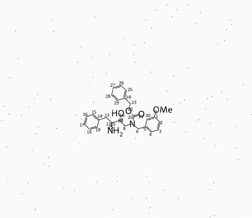 COc1cccc(CN(C[C@@H](O)[C@@H](N)Cc2ccccc2)C(=O)OCc2ccccc2)c1